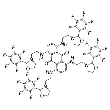 O=C1c2c(NCCN3CCOC3c3c(F)c(F)c(F)c(F)c3F)ccc(NCCN3CCOC3c3c(F)c(F)c(F)c(F)c3F)c2C(=O)c2c(NCCN3CCOC3c3c(F)c(F)c(F)c(F)c3F)ccc(NCCN3CCOC3c3c(F)c(F)c(F)c(F)c3F)c21